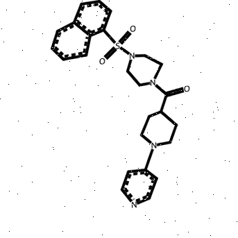 O=C(C1CCN(c2ccncc2)CC1)N1CCN(S(=O)(=O)c2cccc3ccccc23)CC1